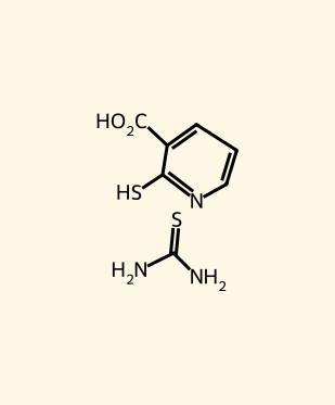 NC(N)=S.O=C(O)c1cccnc1S